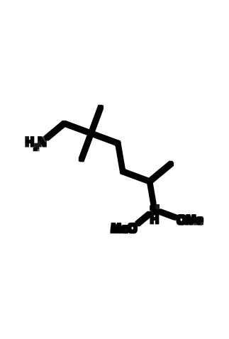 CO[SiH](OC)C(C)CCC(C)(C)CN